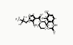 Nc1c(C(=O)N2CCC[C@@]3(C2)OC(=O)Nc2ccc(Cl)c(F)c23)cnn1CC(F)(F)C(F)(F)F